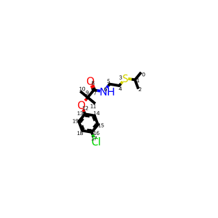 CC(C)SCCNC(=O)C(C)(C)Oc1ccc(Cl)cc1